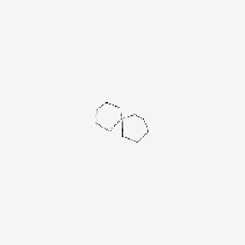 C1CCC2(CC1)CCCCC2